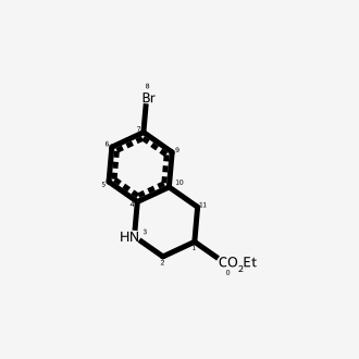 CCOC(=O)C1CNc2ccc(Br)cc2C1